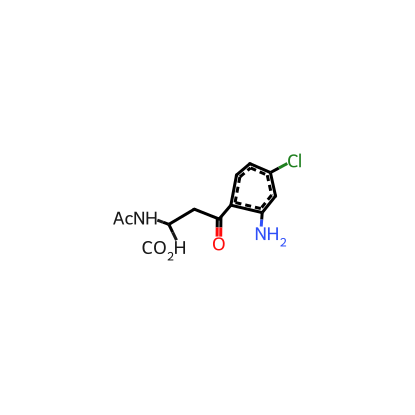 CC(=O)NC(CC(=O)c1ccc(Cl)cc1N)C(=O)O